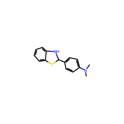 CN(C)c1ccc(C2Nc3ccccc3S2)cc1